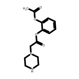 CC(=O)Oc1ccccc1OC(=O)CN1CCNCC1